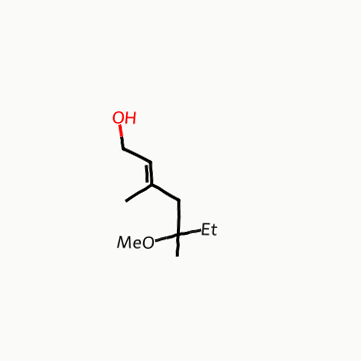 CCC(C)(C/C(C)=C/CO)OC